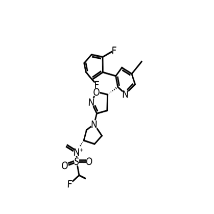 C=[N+]([C@H]1CCN(C2=NO[C@H](c3ncc(C)cc3-c3c(F)cccc3F)C2)C1)S(=O)(=O)C(C)F